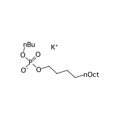 CCCCCCCCCCCCOP(=O)([O-])OCCCC.[K+]